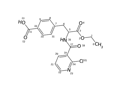 CCOC(=O)C(Cc1ccc(C(=O)O)cc1)NC(=O)c1cccnc1Cl